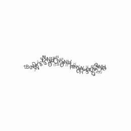 CC(C)(C)c1cnc(CSc2cnc(NC(=O)C3CCN(CC(=O)NCCCCNCC(=O)NCc4cc5c(s4)C(=O)N(C4CCC(=O)NC4=O)C5)CC3)s2)o1